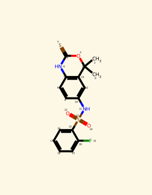 CC1(C)OC(=S)Nc2ccc(NS(=O)(=O)c3ccccc3F)cc21